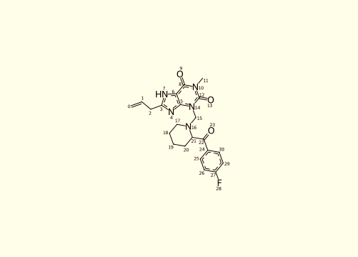 C=CCc1nc2c([nH]1)c(=O)n(C)c(=O)n2CN1CCCCC1C(=O)c1ccc(F)cc1